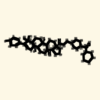 Cc1ccc(C2=CC[C@@]3(C)C(CC[C@@]4(C)C5CC[C@@]6(NCCN7CCN(C(=O)C8CCCCC8)CC7)CCCC6[C@H]5CCC43)C2(C)C)cc1